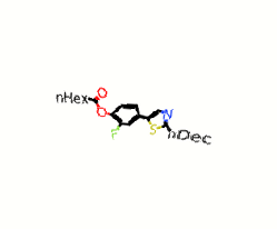 CCCCCCCCCCc1ncc(-c2ccc(OC(=O)CCCCCC)c(F)c2)s1